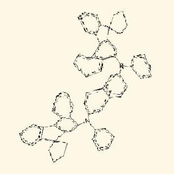 c1ccc(N(c2ccc3cc(N(c4ccccc4)c4cc5c(c6ccccc46)-c4ccccc4C54CCCC4)ccc3c2)c2cc3c(c4ccccc24)-c2ccccc2C32CCCC2)cc1